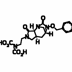 O=C1[C@@H]2[C@@H](C[C@@H]3CN2C(=O)N3OCc2ccccc2)CN1CCN(C(=O)O)C(=O)O